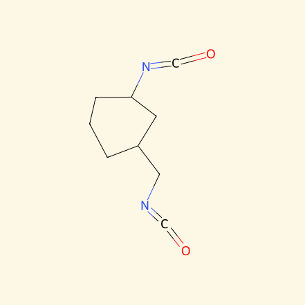 O=C=NCC1CCCC(N=C=O)C1